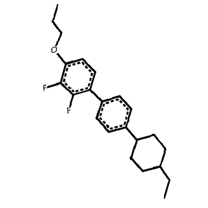 CCCOc1ccc(-c2ccc(C3CCC(CC)CC3)cc2)c(F)c1F